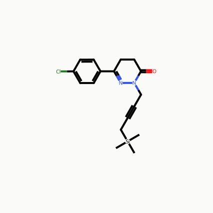 C[Si](C)(C)CC#CCN1N=C(c2ccc(Cl)cc2)CCC1=O